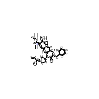 C=CC(=O)N1CC[C@@H](N2C(=O)N(Cc3ccccc3)Cc3cnc(N/C(=C/NC)C(=N)Cl)nc32)C1